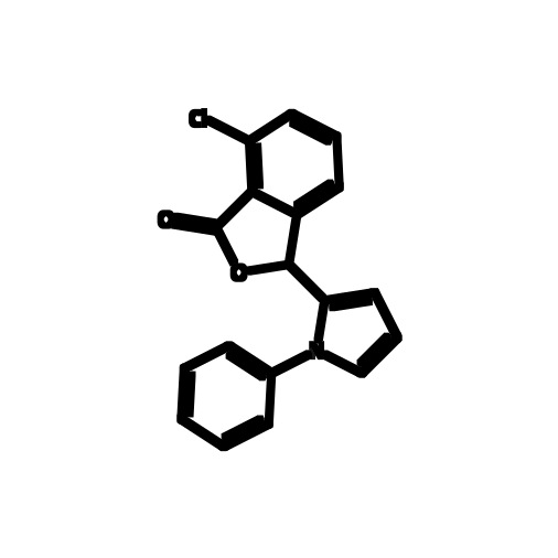 O=C1OC(c2cccn2-c2ccccc2)c2cccc(Cl)c21